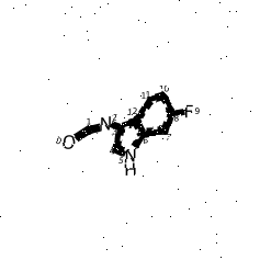 O=C=Nc1c[nH]c2cc(F)ccc12